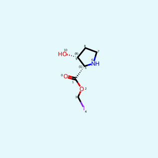 O=C(OCI)[C@H]1NCC[C@H]1O